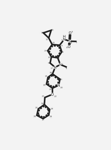 CN1c2cc(NS(C)(=O)=O)c(C3CC3)cc2CN1c1ccc(OCc2ccccc2)nc1